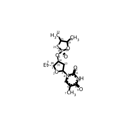 CC[C@H]1OC(n2cc(C)c(=O)[nH]c2=O)C[C@@H]1OP1(=O)OC(C)C(C)S1